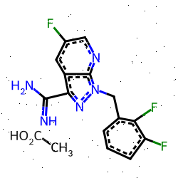 CC(=O)O.N=C(N)c1nn(Cc2cccc(F)c2F)c2ncc(F)cc12